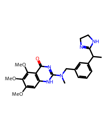 COc1cc2[nH]c(N(C)Cc3cccc(C(C)C4=NCCN4)c3)nc(=O)c2c(OC)c1OC